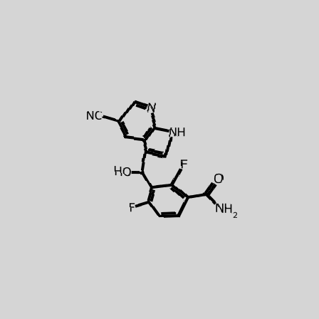 N#Cc1cnc2[nH]cc(C(O)c3c(F)ccc(C(N)=O)c3F)c2c1